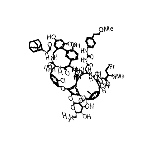 CN[C@H](CC(C)C)C(=O)N[C@H]1C(=O)N[C@@H](CC(=O)NC(=O)Nc2ccc(CCOC)cc2)C(=O)N[C@H]2C(=O)N[C@H]3C(=O)N[C@H](C(=O)N[C@H](C(=O)NC4C5CC6CC(C5)CC4C6)c4cc(O)cc(O)c4-c4cc3ccc4O)[C@H](O)c3ccc(c(Cl)c3)Oc3cc2cc(c3O[C@@H]2O[C@H](CN)[C@@H](O)[C@H](O)[C@H]2O)Oc2ccc(cc2C)[C@H]1O